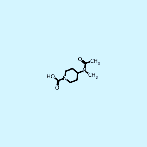 CC(=O)N(C)C1CCN(C(=O)O)CC1